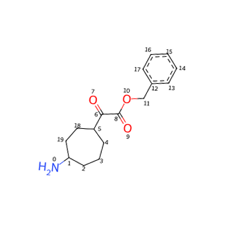 NC1CCCC(C(=O)C(=O)OCc2ccccc2)CC1